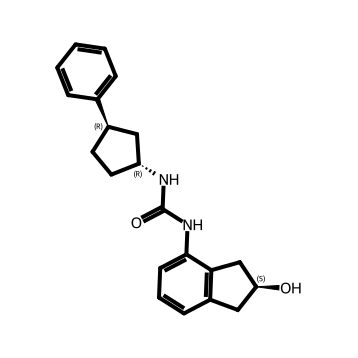 O=C(Nc1cccc2c1C[C@@H](O)C2)N[C@@H]1CC[C@@H](c2ccccc2)C1